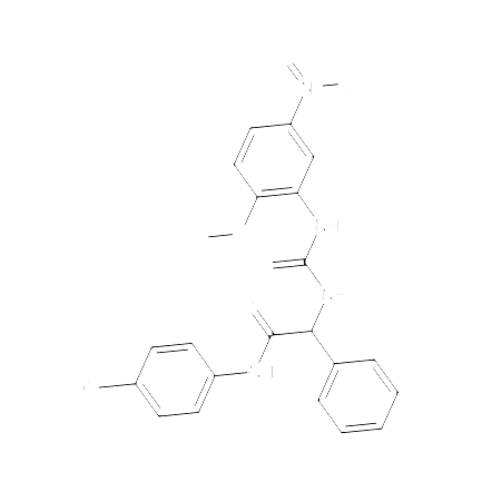 COc1ccc([N+](=O)[O-])cc1NC(=O)NC(C(=O)Nc1ccc(Cl)cc1)c1ccccc1